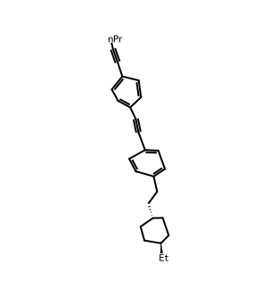 CCCC#Cc1ccc(C#Cc2ccc(CC[C@H]3CC[C@H](CC)CC3)cc2)cc1